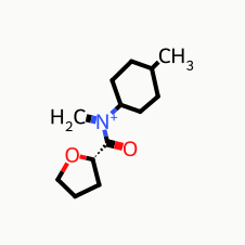 C=[N+](C(=O)[C@@H]1CCCO1)C1CCC(C)CC1